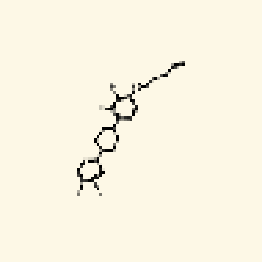 C=CCCCOc1ccc(C2CCC(c3ccc(C)c(F)c3)CC2)c(F)c1F